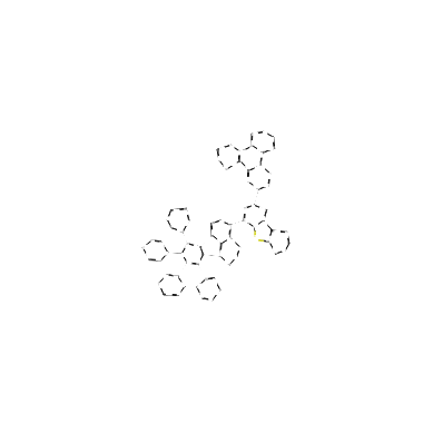 c1ccc(-c2c(-c3ccccc3)c(-c3ccccc3)c3c(c2-c2ccccc2)-c2cccc4c(-c5cc(-c6ccc7c8ccccc8c8ccccc8c7c6)cc6c5sc5ccccc56)ccc-3c24)cc1